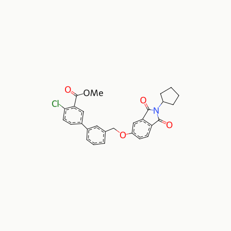 COC(=O)c1cc(-c2cccc(COc3ccc4c(c3)C(=O)N(C3CCCC3)C4=O)c2)ccc1Cl